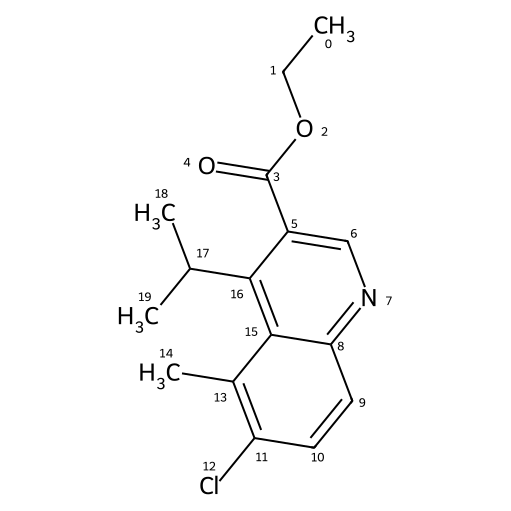 CCOC(=O)c1cnc2ccc(Cl)c(C)c2c1C(C)C